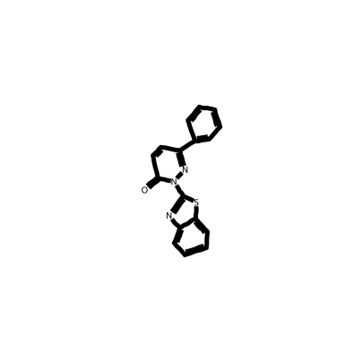 O=c1ccc(-c2ccccc2)nn1-c1nc2ccccc2s1